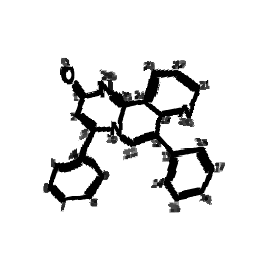 O=c1cc(-c2ccccc2)n2cc(-c3ccccc3)c3ncccc3c2n1